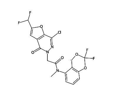 CN(C(=O)Cn1nc(Cl)c2oc(C(F)F)cc2c1=O)c1cccc2c1[CH]OC(F)(F)O2